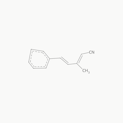 CC(C=Cc1ccccc1)=CC#N